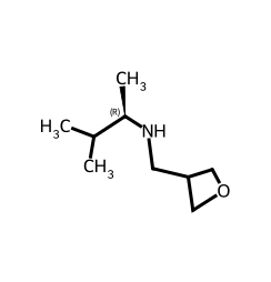 CC(C)[C@@H](C)NCC1COC1